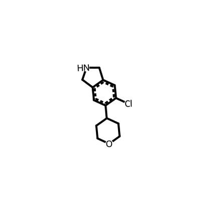 Clc1cc2c(cc1C1CCOCC1)CNC2